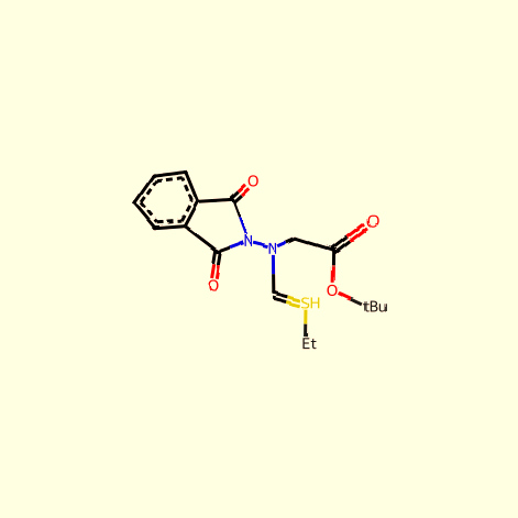 CC[SH]=CN(CC(=O)OC(C)(C)C)N1C(=O)c2ccccc2C1=O